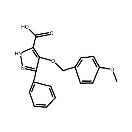 COc1ccc(COc2c(-c3ccccc3)n[nH]c2C(=O)O)cc1